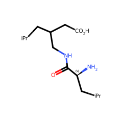 CC(C)CC(CNC(=O)[C@@H](N)CC(C)C)CC(=O)O